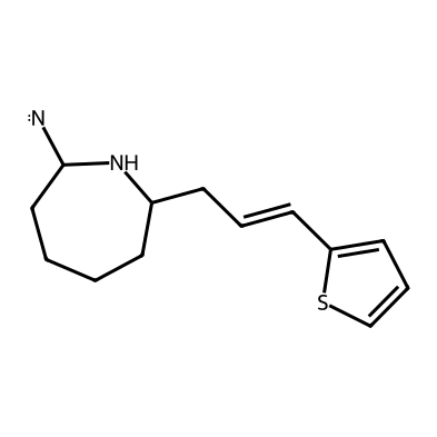 [N]C1CCCCC(CC=Cc2cccs2)N1